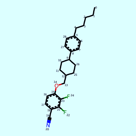 CCCCCc1ccc(C2CCC(COc3ccc(C#N)c(F)c3F)CC2)cc1